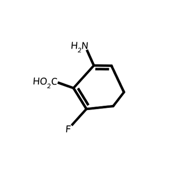 NC1=CCCC(F)=C1C(=O)O